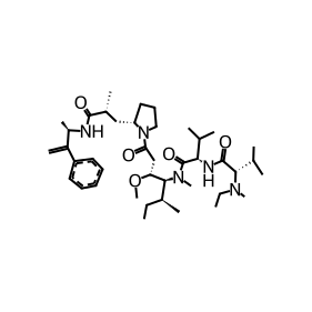 C=C(c1ccccc1)[C@@H](C)NC(=O)[C@H](C)C[C@@H]1CCCN1C(=O)C[C@@H](OC)[C@H]([C@@H](C)CC)N(C)C(=O)[C@@H](NC(=O)[C@H](C(C)C)N(C)CC)C(C)C